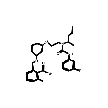 CCCC(C)N(CCO[C@@H]1CCC[C@H](OCc2cccc(C)c2C(=O)O)C1)C(=O)Nc1cccc(F)c1